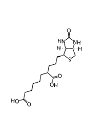 O=C(O)CCCCCC(CCC[C@@H]1SC[C@@H]2NC(=O)N[C@@H]21)C(=O)O